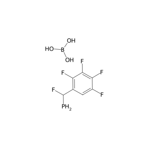 Fc1cc(C(F)P)c(F)c(F)c1F.OB(O)O